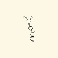 CC(C)(C)OC(=O)COc1ccc(C(=O)C[SH]2CCOCC2)cc1